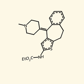 CCOC(=O)Nc1cc2c(s1)CCc1ccccc1C2=C1CCN(C)CC1